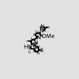 COc1nc(-c2cc(C)c(N[C@@H](C)c3ccc(F)cn3)nn2)ccc1-n1cnc(C)c1